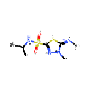 CC(=O)/N=c1/sc(S(=O)(=O)NC(C)C(C)C)nn1C